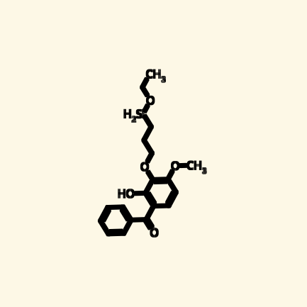 CCO[SiH2]CCCOc1c(OC)ccc(C(=O)c2ccccc2)c1O